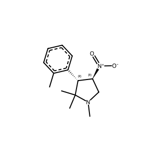 Cc1ccccc1[C@@H]1[C@@H]([N+](=O)[O-])CN(C)C1(C)C